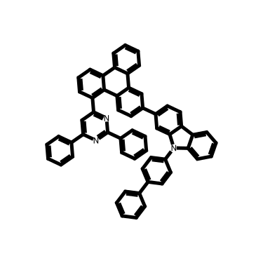 c1ccc(-c2ccc(-n3c4ccccc4c4ccc(-c5ccc6c(c5)c5ccccc5c5cccc(-c7cc(-c8ccccc8)nc(-c8ccccc8)n7)c56)cc43)cc2)cc1